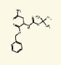 CC(C)(C)OC(=O)NC(CC(N)=S)C(=O)OCc1ccccc1